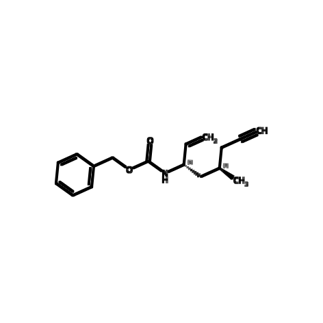 C#CC[C@@H](C)C[C@@H](C=C)NC(=O)OCc1ccccc1